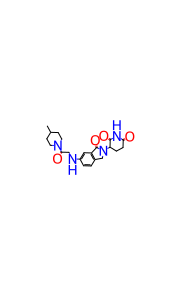 CC1CCN(C(=O)CNc2ccc3c(c2)C(=O)N(C2CCC(=O)NC2=O)C3)CC1